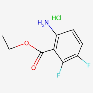 CCOC(=O)c1c(N)ccc(F)c1F.Cl